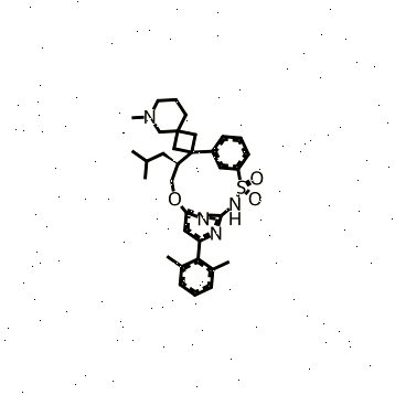 Cc1cccc(C)c1-c1cc2nc(n1)NS(=O)(=O)c1cccc(c1)C1(CC3(CCCN(C)C3)C1)[C@H](CC(C)C)CO2